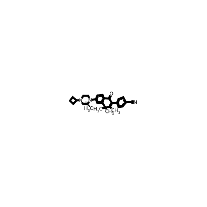 CC1=C(c2ccc(C#N)cc2)C(=O)c2ccc(N3CCN(C4CCC4)C[C@@H]3C)cc2C1(C)C